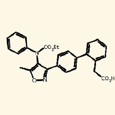 CCOC(=O)N(c1ccccc1)c1c(-c2ccc(-c3ccccc3CC(=O)O)cc2)noc1C